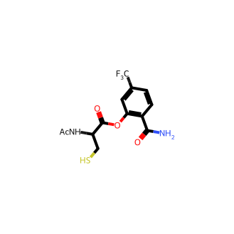 CC(=O)NC(CS)C(=O)Oc1cc(C(F)(F)F)ccc1C(N)=O